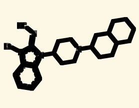 CCn1/c(=N\C#N)n(C2CCN(C3CCC4CCCCC4C3)CC2)c2ccccc21